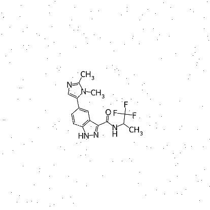 Cc1ncc(-c2ccc3[nH]nc(C(=O)NC(C)C(F)(F)F)c3c2)n1C